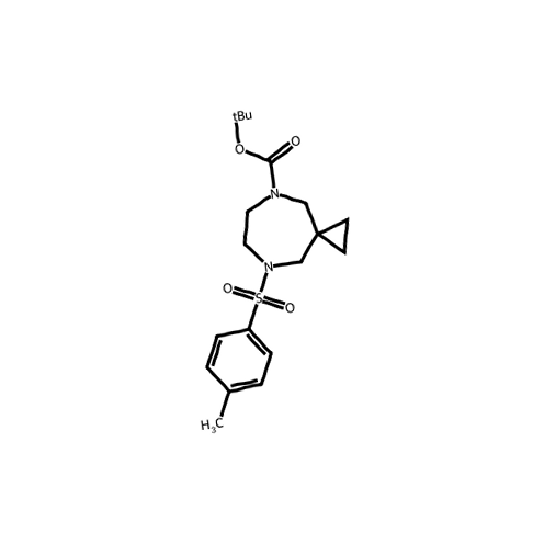 Cc1ccc(S(=O)(=O)N2CCN(C(=O)OC(C)(C)C)CC3(CC3)C2)cc1